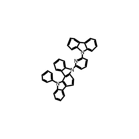 c1ccc(-n2c3ccccc3c3ccc4c(c5ccccc5n4-c4cccc(-n5c6ccccc6c6ccccc65)n4)c32)cc1